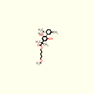 C=C(C)[C@@H]1CCC(C)=C[C@H]1c1c(O)cc(C(C)(C)C(=O)OCCCCCO[N+](=O)[O-])cc1O